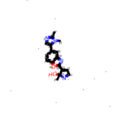 Cc1ncc(-c2ccc3oc(C4=CC=NC4(C)O)nc3c2)n1C